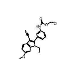 CCn1c(-c2cccc(NC(=O)OCCl)c2)c(C#N)c2ccc(OC)cc21